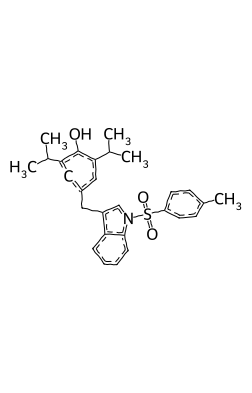 Cc1ccc(S(=O)(=O)n2cc(Cc3cc(C(C)C)c(O)c(C(C)C)c3)c3ccccc32)cc1